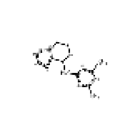 Cc1nc(N)nc(N[C@@H]2CCCc3ccccc32)n1